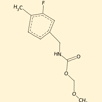 COCOC(=O)NCc1ccc(C)c(F)c1